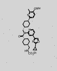 CCOC(=O)NC[C@H]1CC[C@H](C(=O)N(C[C@H]2CC[C@H](c3ccc(OC)c(C)n3)CC2)c2cc(-c3coc(C4CC4)n3)ccn2)CC1